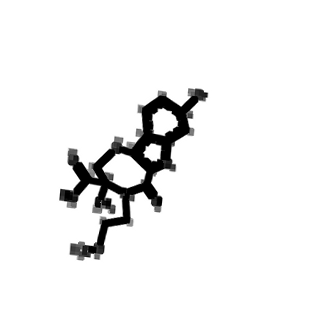 COCCN1C(=O)c2oc3cc(Br)ccc3c2OCC1(C)C(=O)O